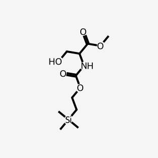 COC(=O)C(CO)NC(=O)OCC[Si](C)(C)C